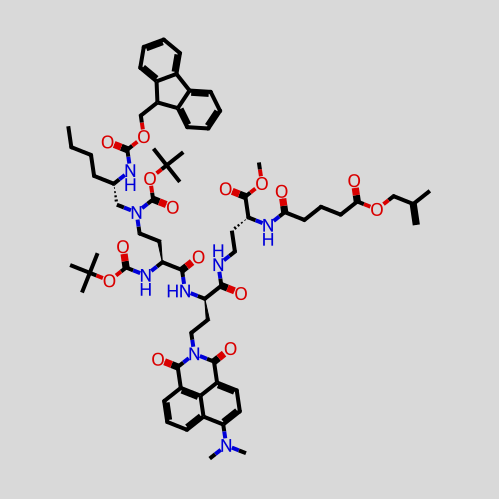 C=C(C)COC(=O)CCCC(=O)N[C@H](CCNC(=O)[C@@H](CCN1C(=O)c2cccc3c(N(C)C)ccc(c23)C1=O)NC(=O)[C@H](CCN(C[C@H](CCCC)NC(=O)OCC1c2ccccc2-c2ccccc21)C(=O)OC(C)(C)C)NC(=O)OC(C)(C)C)C(=O)OC